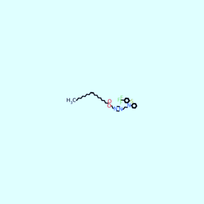 CCCCCCCC/C=C\CCCCCCCC(=O)OCCN1CCN(CCCN2c3ccccc3Sc3ccc(C(F)(F)F)cc32)CC1